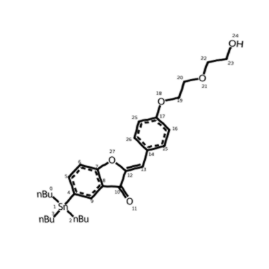 CCC[CH2][Sn]([CH2]CCC)([CH2]CCC)[c]1ccc2c(c1)C(=O)/C(=C/c1ccc(OCCOCCO)cc1)O2